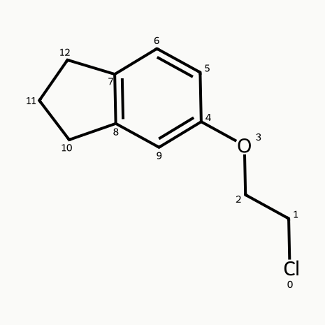 ClCCOc1ccc2c(c1)CCC2